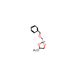 CC(=O)OC1CO[C@@H](COCc2ccccc2)O1